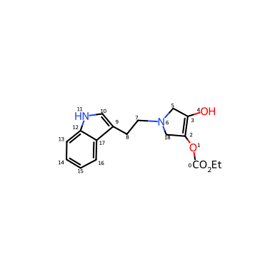 CCOC(=O)OC1=C(O)CN(CCc2c[nH]c3ccccc23)C1